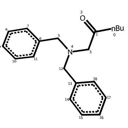 CCCCC(=O)CN(Cc1ccccc1)Cc1ccccc1